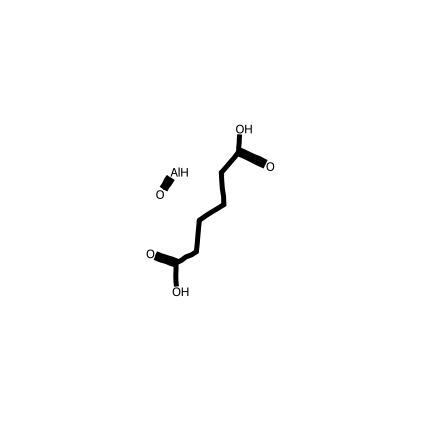 O=C(O)CCCCC(=O)O.[O]=[AlH]